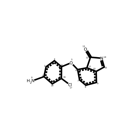 Nc1ccc(Oc2cccc3c2C(=O)N=C3)c(Cl)c1